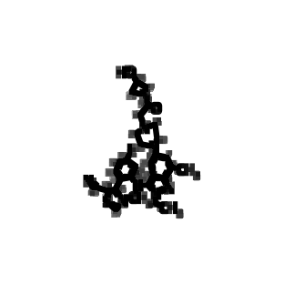 CCn1nc2c(C)cc(N3CCN(CC(=O)N4CC(O)C4)CC3)cc2c1N(C)c1cc(F)ccc1-c1ncsc1C#N